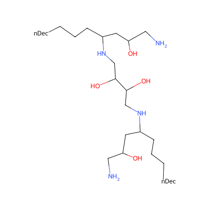 CCCCCCCCCCCCCC(CC(O)CN)NCC(O)C(O)CNC(CCCCCCCCCCCCC)CC(O)CN